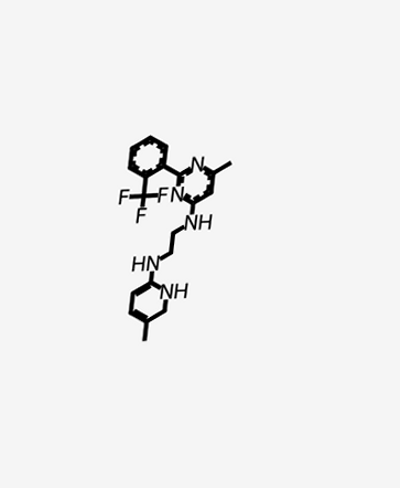 CC1=CC=C(NCCNc2cc(C)nc(-c3ccccc3C(F)(F)F)n2)NC1